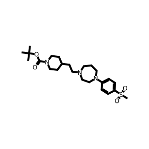 CC(C)(C)OC(=O)N1CCC(CCN2CCCN(c3ccc(S(C)(=O)=O)cc3)CC2)CC1